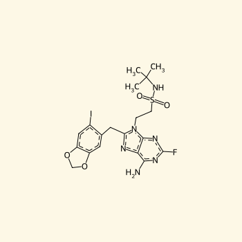 CC(C)(C)NS(=O)(=O)CCn1c(Cc2cc3c(cc2I)OCO3)nc2c(N)nc(F)nc21